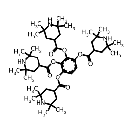 CC1(C)CC(C(=O)Oc2ccc(OC(=O)C3CC(C)(C)NC(C)(C)C3)c(OC(=O)C3CC(C)(C)NC(C)(C)C3)c2OC(=O)C2CC(C)(C)NC(C)(C)C2)CC(C)(C)N1